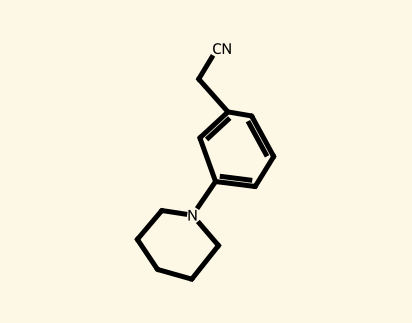 N#CCc1cccc(N2CCCCC2)c1